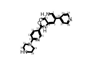 N/C=C(\C=C(/C=O)NC(=O)c1ccc(N2CCNCC2)nc1)c1ccncc1